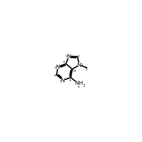 Cn1[c]nc2ncnc(N)c21